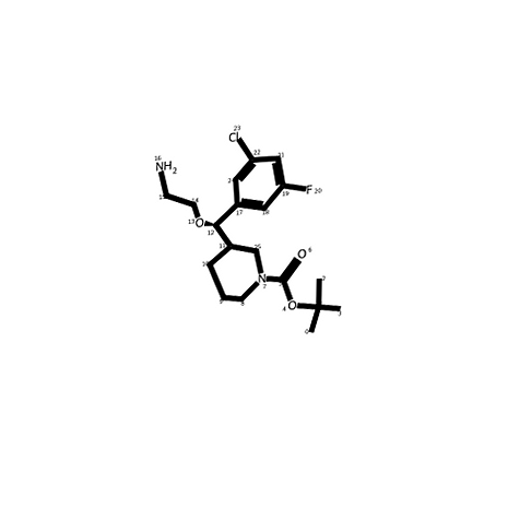 CC(C)(C)OC(=O)N1CCCC([C@@H](OCCN)c2cc(F)cc(Cl)c2)C1